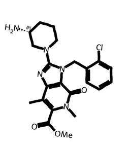 COC(=O)c1c(C)c2nc(N3CCC[C@@H](N)C3)n(Cc3ccccc3Cl)c2c(=O)n1C